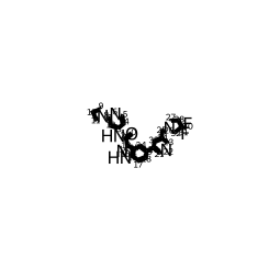 O=C(Nc1ccnc(N2CCC2)c1)c1n[nH]c2ccc(-c3cncc(CN4CCC(F)(F)C4)c3)cc12